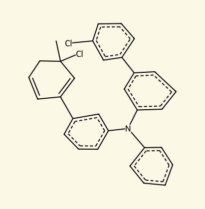 CC1(Cl)C=C(c2cccc(N(c3ccccc3)c3cccc(-c4cccc(Cl)c4)c3)c2)C=CC1